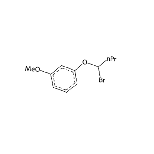 CCCC(Br)Oc1cccc(OC)c1